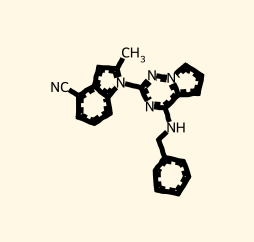 Cc1cc2c(C#N)cccc2n1-c1nc(NCc2ccccc2)c2cccn2n1